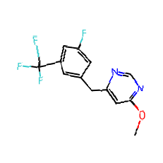 COc1cc(Cc2cc(F)cc(C(F)(F)F)c2)ncn1